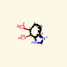 Oc1ccc2nc[nH]c2c1O